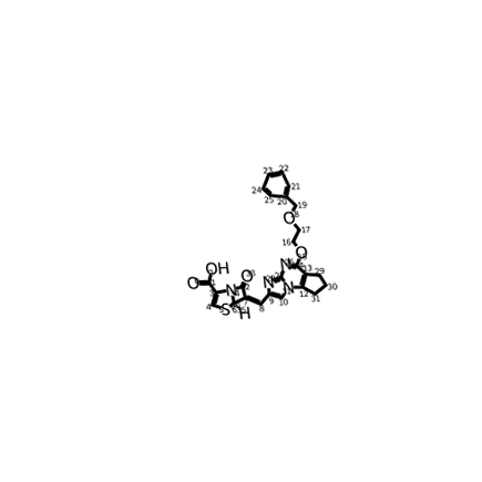 O=C(O)C1=CS[C@@H]2C(=Cc3cn4c5c(c(OCCOCc6ccccc6)nc4n3)CCC5)C(=O)N12